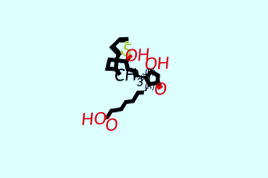 CC1CCC1(c1cccs1)C(O)CC=C[C@H]1[C@H](O)CC(=O)[C@@H]1CCCCCCC(=O)O